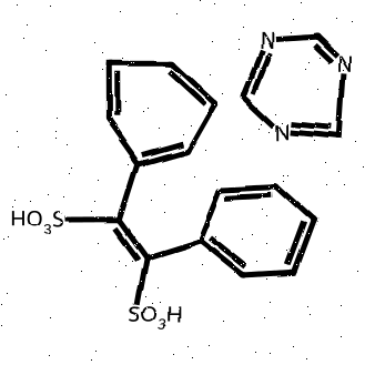 O=S(=O)(O)C(=C(c1ccccc1)S(=O)(=O)O)c1ccccc1.c1ncncn1